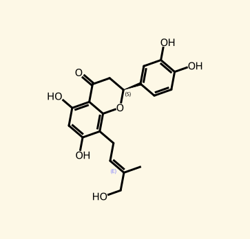 C/C(=C\Cc1c(O)cc(O)c2c1O[C@H](c1ccc(O)c(O)c1)CC2=O)CO